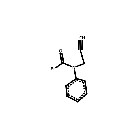 C#CCN(C(=O)Br)c1ccccc1